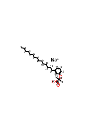 CCCCCCCCCCCCCCCc1cccc(OC(C)(C)C(=O)[O-])c1.[Na+]